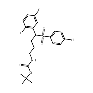 CC(C)(C)OC(=O)NCCCC(c1cc(F)ccc1F)S(=O)(=O)c1ccc(Cl)cc1